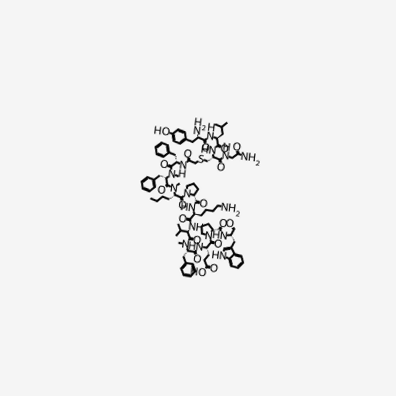 CCCC[C@@H](C(=O)N1CCC[C@@H]1C(=O)N[C@@H](CCCCN)C(=O)N[C@H](C(=O)N(C)[C@@H](Cc1ccccc1)C(=O)N[C@@H](CCC(=O)O)C(=O)N1CCC[C@@H]1C(=O)N[C@H](C=O)Cc1c[nH]c2ccccc12)C(C)C)N(C)C(=O)[C@H](Cc1ccccc1)N(C)C(=O)[C@H](Cc1ccccc1)NC(=O)CSC[C@H](NC(=O)[C@H](CC(C)C)NC(=O)[C@@H](N)Cc1ccc(O)cc1)C(=O)NCC(N)=O